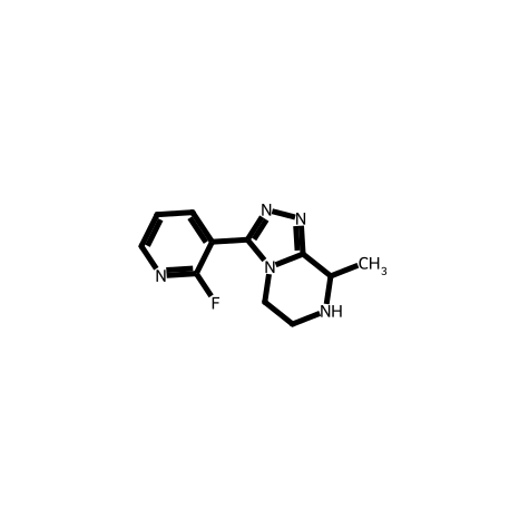 CC1NCCn2c(-c3cccnc3F)nnc21